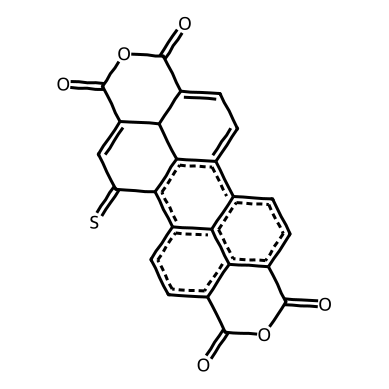 O=C1OC(=O)C2=CC(=S)c3c4c(c5ccc6c7c(ccc3c75)C(=O)OC6=O)=CC=C1C24